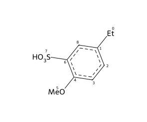 CCc1ccc(OC)c(S(=O)(=O)O)c1